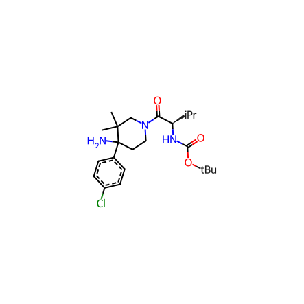 CC(C)[C@@H](NC(=O)OC(C)(C)C)C(=O)N1CCC(N)(c2ccc(Cl)cc2)C(C)(C)C1